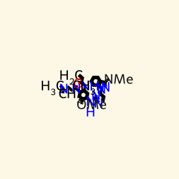 C=CC(=O)Nc1cc(Nc2nccc(-n3nc(NC)c4ccccc43)n2)c(OC)cc1N(C)CCN(C)C